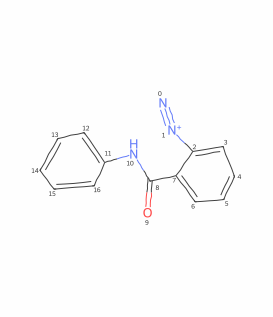 N#[N+]c1ccccc1C(=O)Nc1ccccc1